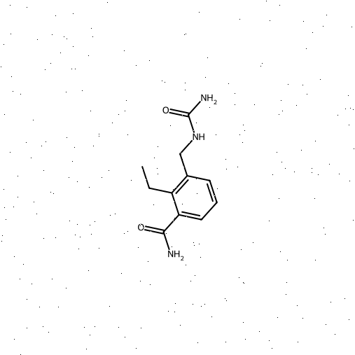 CCc1c(CNC(N)=O)cccc1C(N)=O